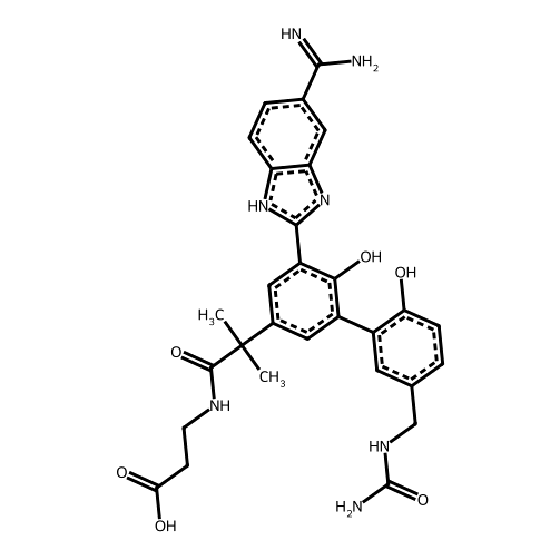 CC(C)(C(=O)NCCC(=O)O)c1cc(-c2nc3cc(C(=N)N)ccc3[nH]2)c(O)c(-c2cc(CNC(N)=O)ccc2O)c1